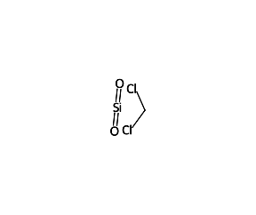 ClCCl.O=[Si]=O